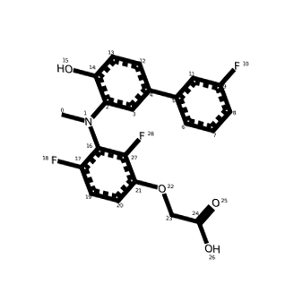 CN(c1cc(-c2cccc(F)c2)ccc1O)c1c(F)ccc(OCC(=O)O)c1F